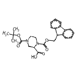 CC(C)(C)OC(=O)N1CCN(C(=O)OCC2c3ccccc3-c3ccccc32)C(C(=O)O)C1